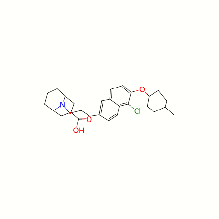 CC1CCC(Oc2ccc3cc(CCCN4C5CCCC4CC(C(=O)O)C5)ccc3c2Cl)CC1